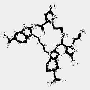 C=CCn1nc(C)cc1C(=O)Nc1nc2cc(C(N)=O)ccc2n1CCCCn1c(NC(=O)c2cc(C)nn2CC=C)nc2cc(C(N)=O)ccc21